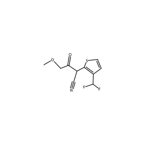 COCC(=O)C(C#N)c1sccc1C(F)F